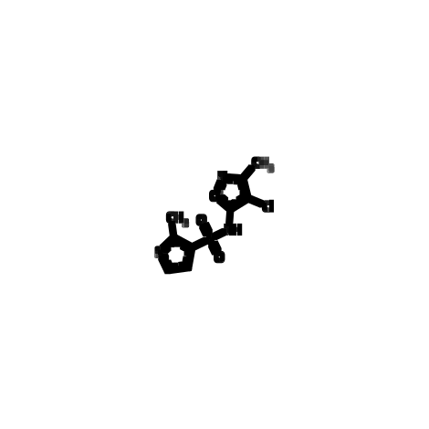 Cc1noc(NS(=O)(=O)c2ccsc2C)c1Cl